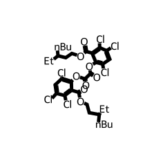 CCCCC(CC)CCOC(=O)c1c(Cl)c(Cl)cc(Cl)c1OC(=O)C(=O)Oc1c(Cl)cc(Cl)c(Cl)c1C(=O)OCCC(CC)CCCC